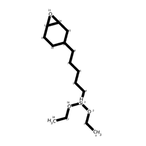 CCO[SiH](CCCCCC1CCC2OC2C1)OCC